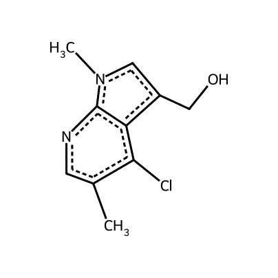 Cc1cnc2c(c(CO)cn2C)c1Cl